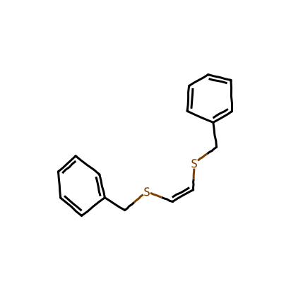 C(=C/SCc1ccccc1)/SCc1ccccc1